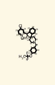 CC(F)(F)Oc1ccc(CN2CCC3(CC2)OC(c2cc(Cl)cc[n+]2O)c2ccccc23)cc1